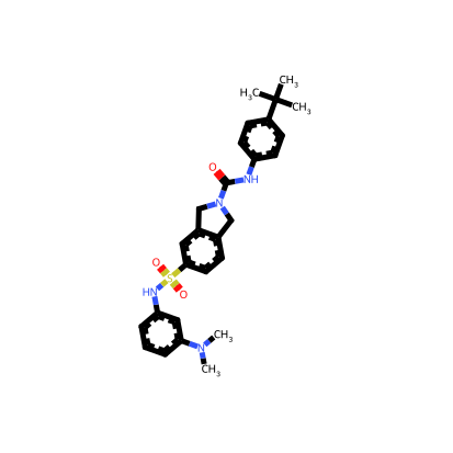 CN(C)c1cccc(NS(=O)(=O)c2ccc3c(c2)CN(C(=O)Nc2ccc(C(C)(C)C)cc2)C3)c1